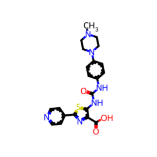 CN1CCN(c2ccc(NC(=O)Nc3sc(-c4ccncc4)nc3C(=O)O)cc2)CC1